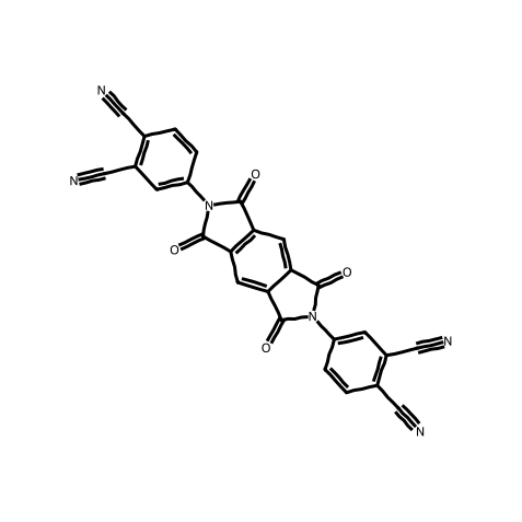 N#Cc1ccc(-n2c(=O)c3cc4c(=O)n(-c5ccc(C#N)c(C#N)c5)c(=O)c4cc3c2=O)cc1C#N